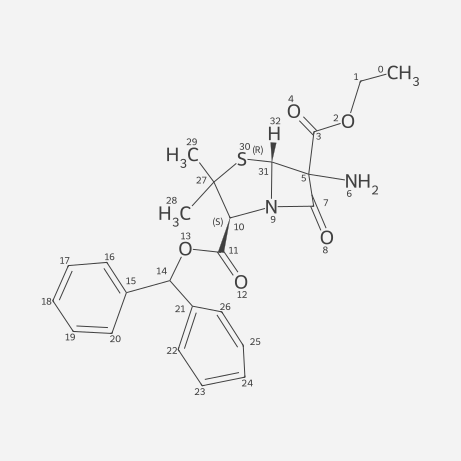 CCOC(=O)C1(N)C(=O)N2[C@@H](C(=O)OC(c3ccccc3)c3ccccc3)C(C)(C)S[C@@H]21